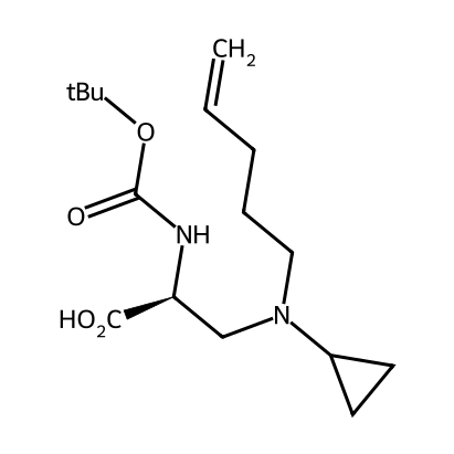 C=CCCCN(C[C@H](NC(=O)OC(C)(C)C)C(=O)O)C1CC1